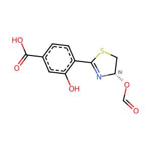 O=CO[C@H]1CSC(c2ccc(C(=O)O)cc2O)=N1